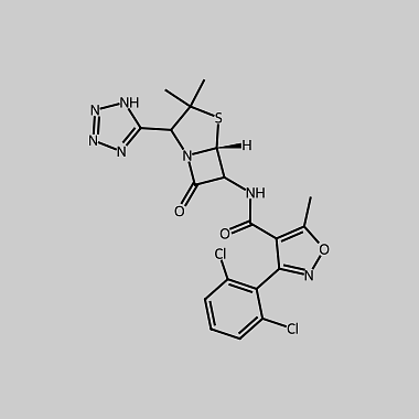 Cc1onc(-c2c(Cl)cccc2Cl)c1C(=O)NC1C(=O)N2C(c3nnn[nH]3)C(C)(C)S[C@H]12